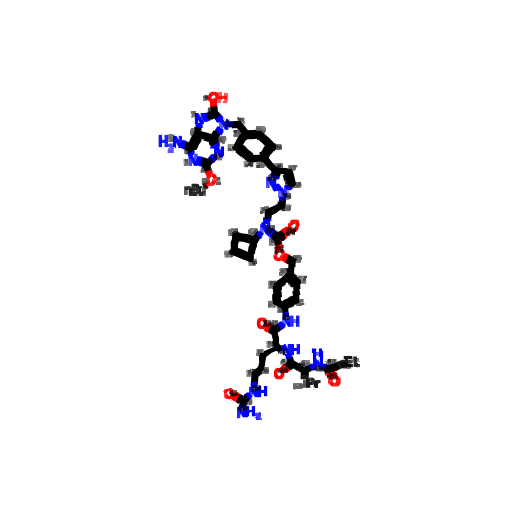 CCCCOc1nc(N)c2nc(O)n(Cc3ccc(-c4ccn(CCN(C(=O)OCc5ccc(NC(=O)[C@H](CCCNC(N)=O)NC(=O)C(NC(=O)CC)C(C)C)cc5)C5CCC5)n4)cc3)c2n1